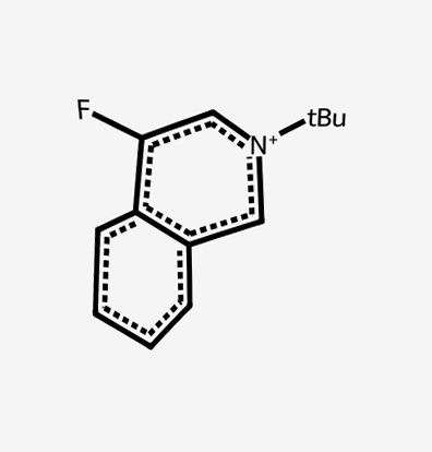 CC(C)(C)[n+]1cc(F)c2ccccc2c1